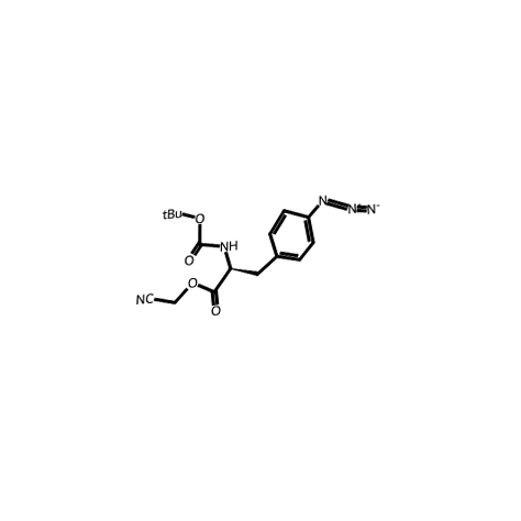 CC(C)(C)OC(=O)N[C@@H](Cc1ccc(N=[N+]=[N-])cc1)C(=O)OCC#N